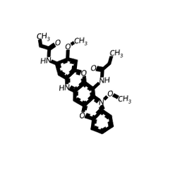 CCC(=O)Nc1cc2[nH]c3cc4oc5ccccc5n(OC)c4c(NC(=O)CC)c3oc2cc1OC